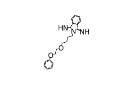 N=C1c2ccccc2C(=N)N1CCCCOCCOc1ccccc1